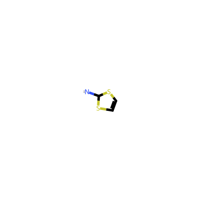 [N]C1SC=CS1